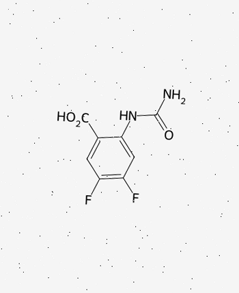 NC(=O)Nc1cc(F)c(F)cc1C(=O)O